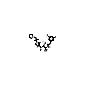 CCCC(NC(=O)Cc1cc(F)cc(F)c1)C(=O)Nc1ncn(C(C)(C)CN2CCCC2)c1C(F)(F)F